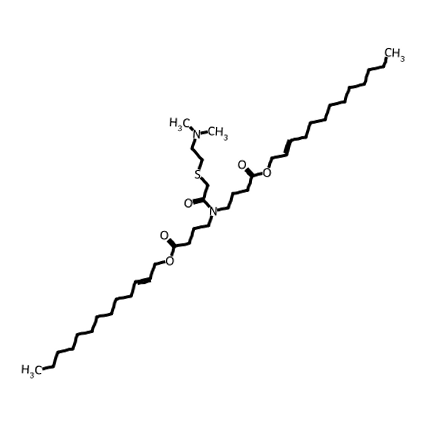 CCCCCCCCCC/C=C/COC(=O)CCCN(CCCC(=O)OC/C=C/CCCCCCCCCC)C(=O)CSCCN(C)C